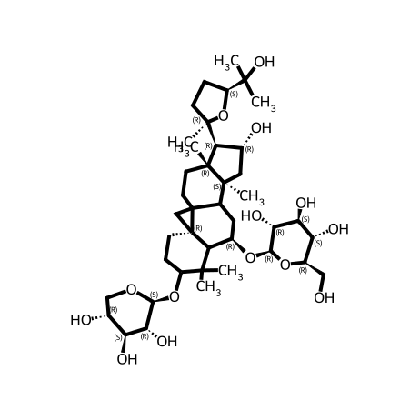 CC1(C)C(O[C@@H]2OC[C@@H](O)[C@H](O)[C@H]2O)CC[C@]23CC24CC[C@]2(C)[C@@H]([C@@]5(C)CC[C@@H](C(C)(C)O)O5)[C@H](O)C[C@@]2(C)C4C[C@@H](O[C@@H]2O[C@H](CO)[C@@H](O)[C@H](O)[C@H]2O)C13